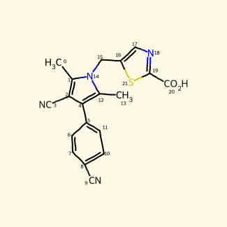 Cc1c(C#N)c(-c2ccc(C#N)cc2)c(C)n1Cc1cnc(C(=O)O)s1